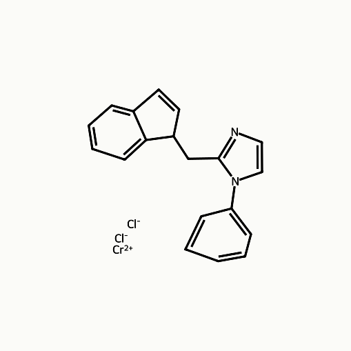 C1=CC(Cc2nccn2-c2ccccc2)c2ccccc21.[Cl-].[Cl-].[Cr+2]